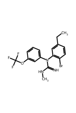 CCc1ccc(Br)c(N(C(=N)NC)c2cccc(OC(F)(F)F)c2)c1